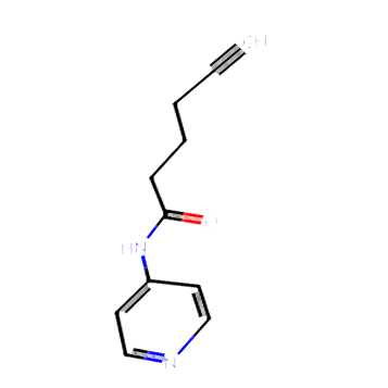 C#CCCCC(=O)Nc1ccncc1